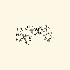 CCOP(C)(=O)C(Cc1nc(C2(c3ccc(I)cc3)CC2)no1)C(=O)OC(C)(C)C